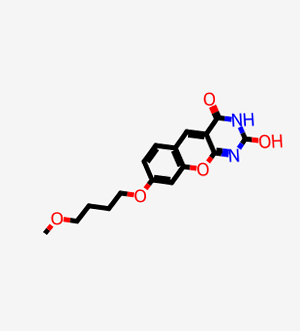 COCCCCOc1ccc2c(c1)OC1=NC(O)NC(=O)C1=C2